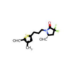 Cc1cc(CCCN2C(=O)C(F)(F)C[C@@H]2C=O)sc1[C]=O